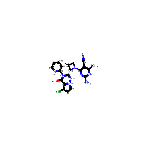 Cc1nc(N)nc(N2C[C@H](C)[C@H]2c2nn3ccc(Cl)c3c(=O)n2-c2ccccn2)c1C#N